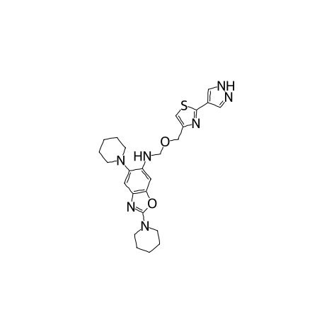 c1n[nH]cc1-c1nc(COCNc2cc3oc(N4CCCCC4)nc3cc2N2CCCCC2)cs1